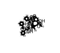 CC(=O)O[C@H]1C(=O)C2=C(O)CC3OC[C@@]3(OC(C)=O)C2[C@H](OC(=O)c2ccccc2)[C@]2(O)C[C@H](OC(=O)[C@H](O)C(NC(=O)c3ccccc3)c3ccccc3)C(C)=C1C2(C)C